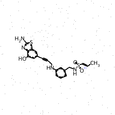 C/C=C/S(=O)(=O)NCc1cccc(NCC#Cc2cc(O)c3nc(N)sc3c2)c1